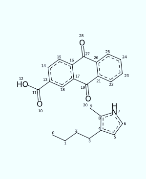 CCCCc1cc[nH]c1C.O=C(O)c1ccc2c(c1)C(=O)c1ccccc1C2=O